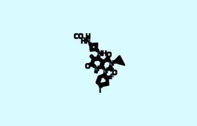 Cc1c(NC2CC(NC(=O)O)C2)c2c(=O)n(C3CC3)c(=O)n(-c3ccc(I)cc3F)c2n(C)c1=O